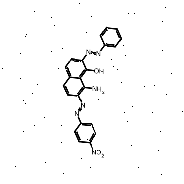 Nc1c(N=Nc2ccc([N+](=O)[O-])cc2)ccc2ccc(N=Nc3ccccc3)c(O)c12